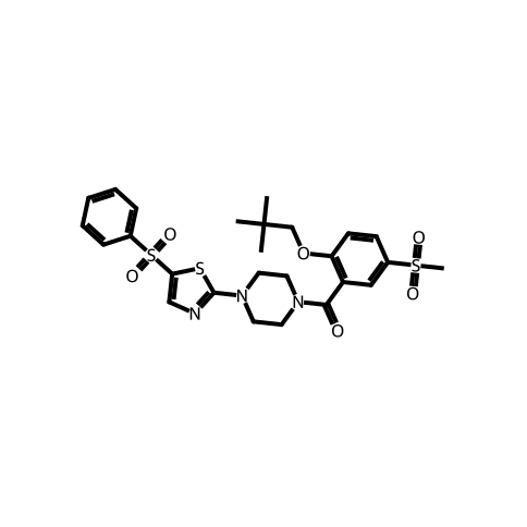 CC(C)(C)COc1ccc(S(C)(=O)=O)cc1C(=O)N1CCN(c2ncc(S(=O)(=O)c3ccccc3)s2)CC1